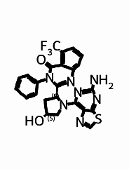 Nc1nc(N2C[C@@H](O)C[C@H]2c2nc3cccc(C(F)(F)F)c3c(=O)n2-c2ccccc2)c2ncsc2n1